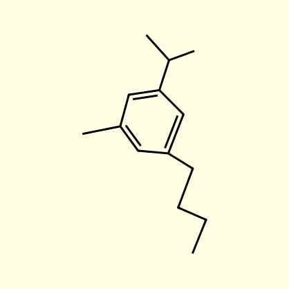 CCCCc1cc(C)cc(C(C)C)c1